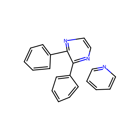 c1ccc(-c2nccnc2-c2ccccc2)cc1.c1ccncc1